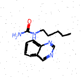 CCCCCNC(N)=O.c1ccc2ncncc2c1